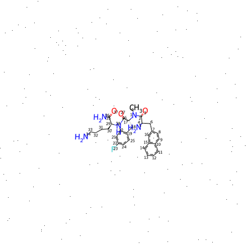 CN(C(=O)[C@H](N)Cc1ccc2ccccc2c1)[C@H](Cc1ccc(F)cc1)C(=O)N[C@@H](CCCCN)C(N)=O